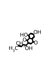 CC(C)=CCC(O)C1=CC(=O)c2cc(O)cc(O)c2C1=O